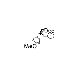 CCCCCCCCCCN(Cc1ccc(OC)cc1)CC1CCCCC1